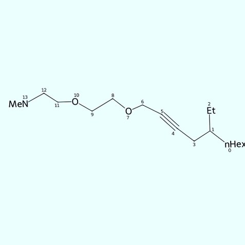 CCCCCCC(CC)CC#CCOCCOCCNC